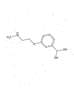 CNCCOc1cccc(C(O)O)c1